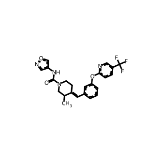 CC1CN(C(=O)Nc2cnoc2)CCC1=Cc1cccc(Oc2ccc(C(F)(F)F)cn2)c1